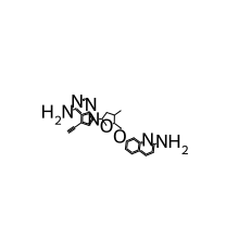 C#Cc1cn(C2CC(C)C(COc3ccc4ccc(N)nc4c3)O2)c2ncnc(N)c12